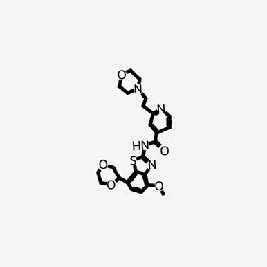 COc1ccc(C2COCCO2)c2sc(NC(=O)c3ccnc(CCN4CCOCC4)c3)nc12